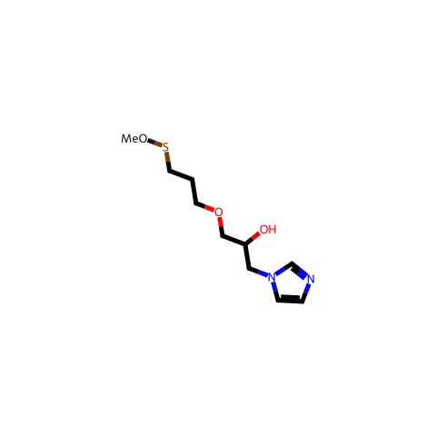 COSCCCOCC(O)Cn1ccnc1